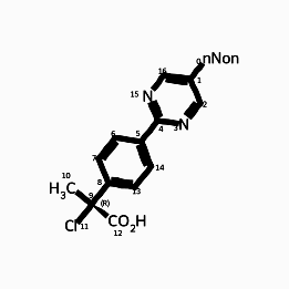 CCCCCCCCCc1cnc(-c2ccc([C@@](C)(Cl)C(=O)O)cc2)nc1